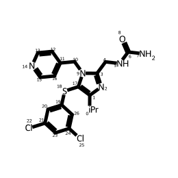 CC(C)c1nc(CNC(N)=O)n(Cc2ccncc2)c1Sc1cc(Cl)cc(Cl)c1